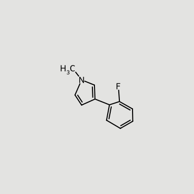 Cn1ccc(-c2ccccc2F)c1